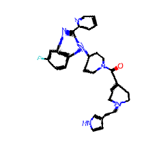 O=C(C1CCN(Cc2cc[nH]c2)CC1)N1CCC(n2c(-c3ccccn3)nc3cc(F)ccc32)CC1